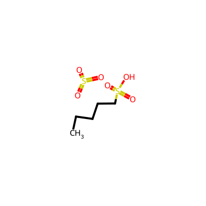 CCCCCS(=O)(=O)O.O=S(=O)=O